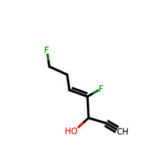 C#CC(O)/C(F)=C/CCF